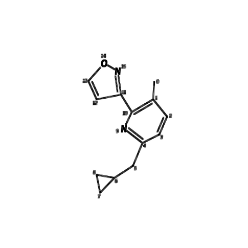 Cc1ccc(CC2CC2)nc1-c1ccon1